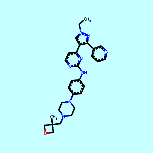 CCn1cc(-c2ccnc(Nc3ccc(N4CCN(CC5(C)COC5)CC4)cc3)n2)c(-c2cccnc2)n1